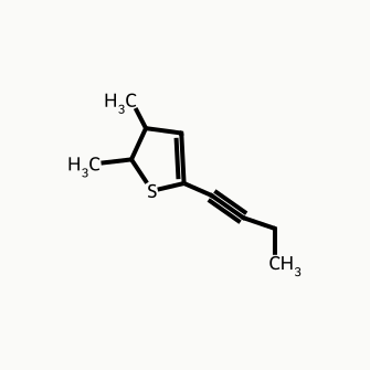 CCC#CC1=CC(C)C(C)S1